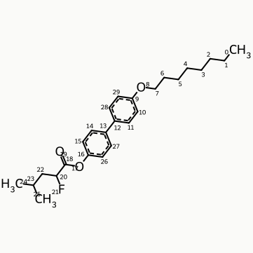 CCCCCCCCOc1ccc(-c2ccc(OC(=O)C(F)CC(C)C)cc2)cc1